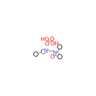 O=C(O)C(=O)O.O=C1c2ccccc2C(c2ccccc2)N1CCCN1CC=C(c2ccccc2)CC1